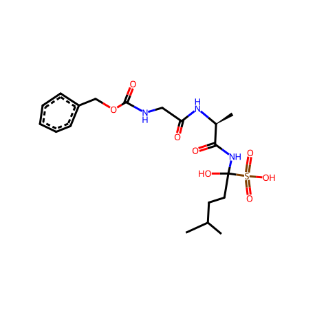 CC(C)CCC(O)(NC(=O)[C@H](C)NC(=O)CNC(=O)OCc1ccccc1)S(=O)(=O)O